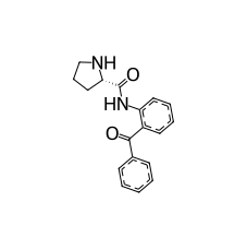 O=C(c1ccccc1)c1ccccc1NC(=O)[C@@H]1CCCN1